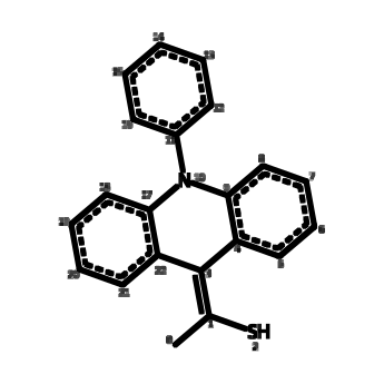 CC(S)=C1c2ccccc2N(c2ccccc2)c2ccccc21